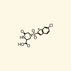 O=C1CN(S(=O)(=O)c2cc3ccc(Cl)cc3s2)CC(C(=O)O)N1